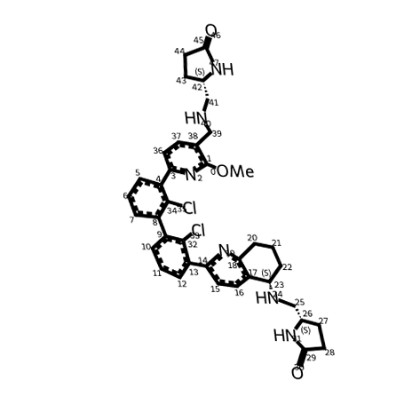 COc1nc(-c2cccc(-c3cccc(-c4ccc5c(n4)CCC[C@@H]5NC[C@@H]4CCC(=O)N4)c3Cl)c2Cl)ccc1CNC[C@@H]1CCC(=O)N1